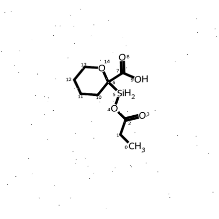 CCC(=O)O[SiH2]C1(C(=O)O)CCCCO1